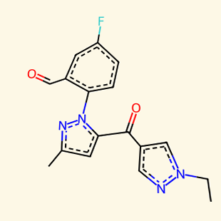 CCn1cc(C(=O)c2cc(C)nn2-c2ccc(F)cc2C=O)cn1